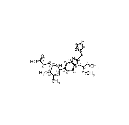 CCC(CC)n1c(Cc2cccs2)nc2cc(C(=O)N[C@H](CCC(=O)O)[C@@H](C)CC)ccc21